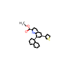 CCOC(=O)c1ccc2cc(-c3ccsc3)cc(-c3cccc4ccccc34)c2n1